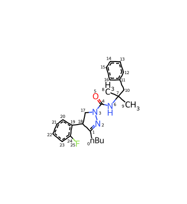 CCCCC1=NN(C(=O)NC(C)(C)Cc2ccccc2)CC1c1ccccc1F